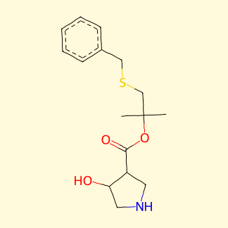 CC(C)(CSCc1ccccc1)OC(=O)C1CNCC1O